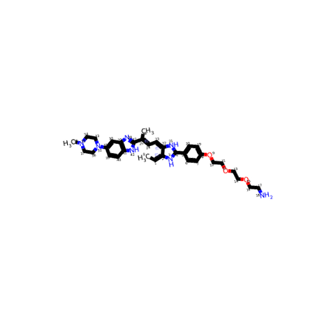 C/C=C1/NC(c2ccc(OCCOCCOCCN)cc2)N/C1=C/C=C(\C)c1nc2cc(N3CCN(C)CC3)ccc2[nH]1